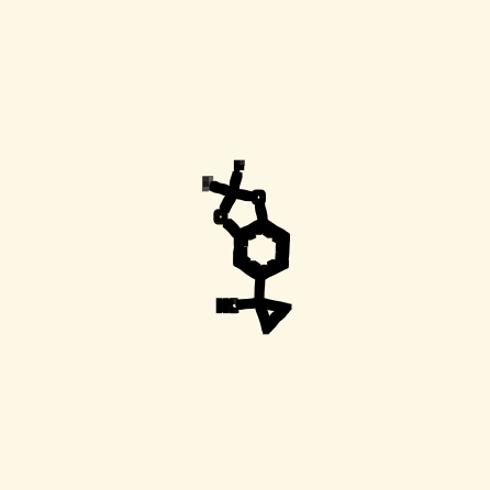 N#[14C]C1(c2ccc3c(c2)OC(F)(F)O3)CC1